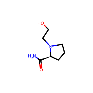 NC(=O)[C@@H]1CCCN1CCO